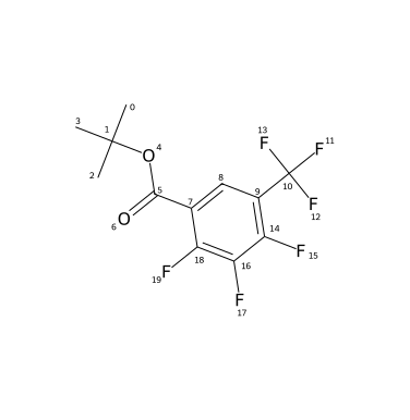 CC(C)(C)OC(=O)c1cc(C(F)(F)F)c(F)c(F)c1F